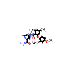 COc1cc(OC(F)(F)F)ccc1Oc1cc(C)cc(C(F)(F)F)c1C(=O)Nc1ccnc(C(N)=O)c1